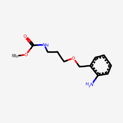 CC(C)(C)OC(=O)NCCCOCc1ccccc1N